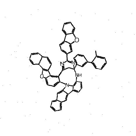 Cc1ccccc1-c1cccc([C@@]23CC(=NC(c4ccc5c(c4)oc4ccccc45)=N2)c2c(ccc4oc5c(c24)C=CC2C=CC=CC52)-n2c4cc5ccccc5cc4c4cccc(c42)N3)c1